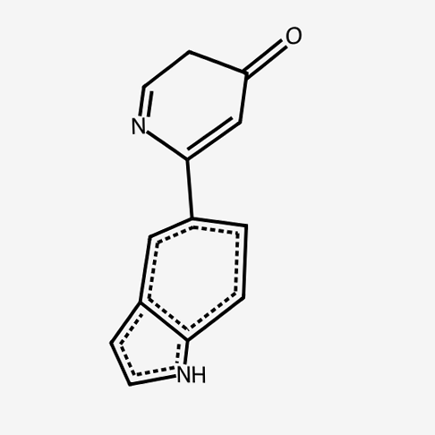 O=C1C=C(c2ccc3[nH]ccc3c2)N=CC1